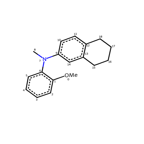 COc1ccccc1N(C)c1ccc2c(c1)CCCC2